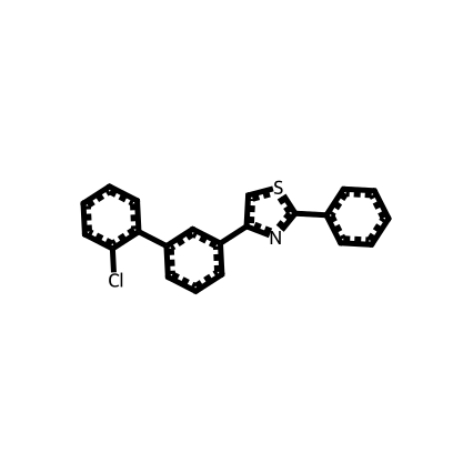 Clc1ccccc1-c1cccc(-c2csc(-c3ccccc3)n2)c1